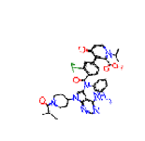 CC(C)C(=O)N1CCC(n2cc(N(C(=O)c3ccc(-c4c(C(=O)O)n(C(C)C)ccc4=O)cc3F)c3ccccc3)c3c(N)ncnc32)CC1